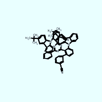 CC(C)(C)c1ccc2c(c1)c1ccccc1n2-c1cccc(C#N)c1-c1nc(-c2ccccc2)nc(-c2c(-c3cccc(C#N)c3)cccc2-n2c3ccccc3c3cc(C(C)(C)C)ccc32)n1